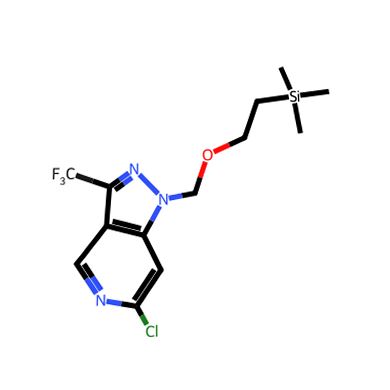 C[Si](C)(C)CCOCn1nc(C(F)(F)F)c2cnc(Cl)cc21